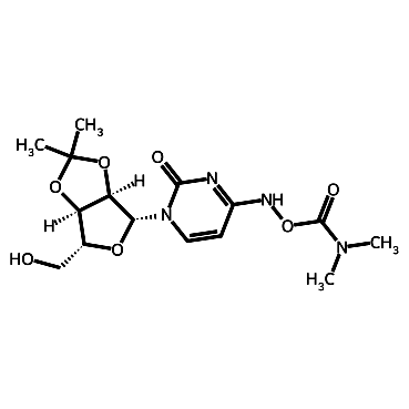 CN(C)C(=O)ONc1ccn([C@@H]2O[C@H](CO)[C@H]3OC(C)(C)O[C@H]32)c(=O)n1